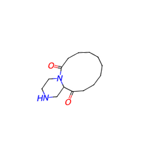 O=C1CCCCCCCCC(=O)N2CCNCC12